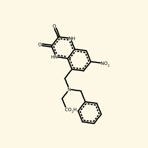 O=C(O)CN(Cc1ccccc1)Cc1cc([N+](=O)[O-])cc2[nH]c(=O)c(=O)[nH]c12